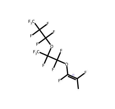 C/C(F)=C(\F)OC(F)(F)C(F)(OC(F)(F)C(F)(F)C(F)(F)F)C(F)(F)F